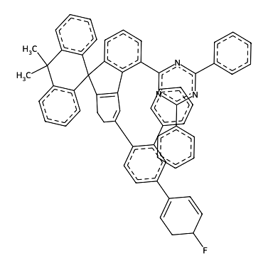 CC1(C)c2ccccc2C2(C3=C(C=C(c4ccc(C5=CCC(F)C=C5)cc4-c4ccccc4)CC3)c3c(-c4nc(-c5ccccc5)nc(-c5ccccc5)n4)cccc32)c2ccccc21